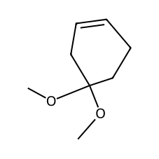 COC1(OC)CC=CCC1